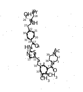 CC(=O)N1CCN(C(=O)c2cc(CSc3cnc(NC(=O)c4ccc(CN[C@H](CO)CC(C)C)cc4)s3)cc(C)c2C)CC1